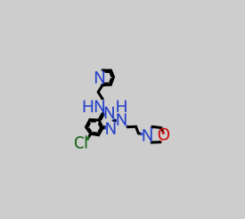 Clc1ccc2c(NCCc3ccccn3)nc(NCCCN3CCOCC3)nc2c1